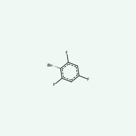 CC[C@@H](C)c1c(F)cc(F)cc1F